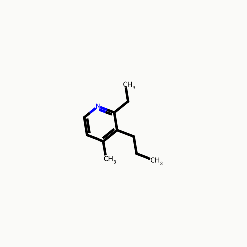 CCCc1c(C)ccnc1CC